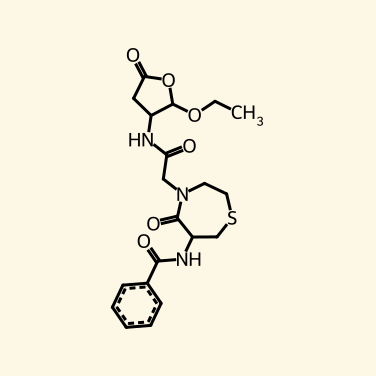 CCOC1OC(=O)CC1NC(=O)CN1CCSCC(NC(=O)c2ccccc2)C1=O